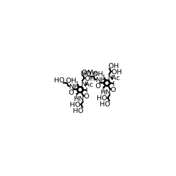 CC(=O)N(CC(O)CO)c1c(I)c(C(=O)NCC(O)CO)c(I)c(C(=O)NCC(O)CO)c1I.COCC(O)CN(C(C)=O)c1c(I)c(C(=O)NCC(O)CO)c(I)c(C(=O)NCC(O)CO)c1I